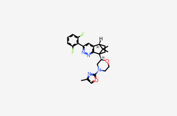 Cc1coc(N2CCO[C@H](C34CC[C@@H](c5cc(-c6c(F)cccc6F)nnc53)C4(C)C)C2)n1